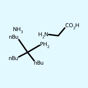 CCCCC(P)(CCCC)CCCC.N.NCC(=O)O